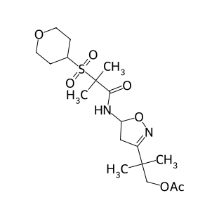 CC(=O)OCC(C)(C)C1=NOC(NC(=O)C(C)(C)S(=O)(=O)C2CCOCC2)C1